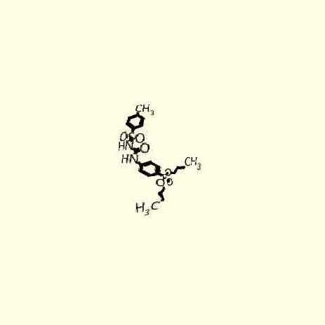 CCCCOP(=O)(OCCCC)c1ccc(NC(=O)NS(=O)(=O)c2ccc(C)cc2)cc1